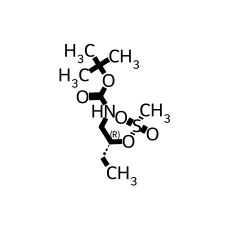 CC[C@H](CNC(=O)OC(C)(C)C)OS(C)(=O)=O